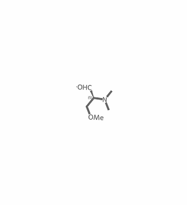 COC[C@@H]([C]=O)N(C)C